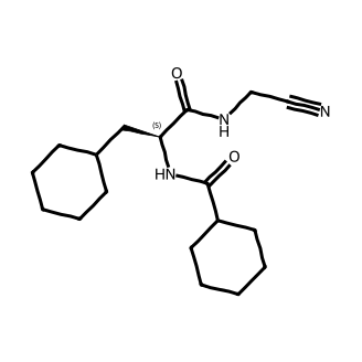 N#CCNC(=O)[C@H](CC1CCCCC1)NC(=O)C1CCCCC1